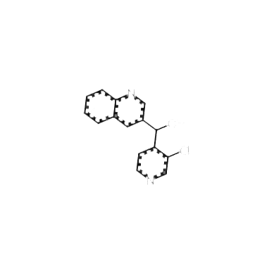 OC(c1cnc2ccccc2c1)c1ccncc1Cl